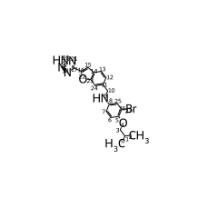 CC(C)COc1ccc(NCc2ccc3cc(-c4nn[nH]n4)oc3c2)cc1Br